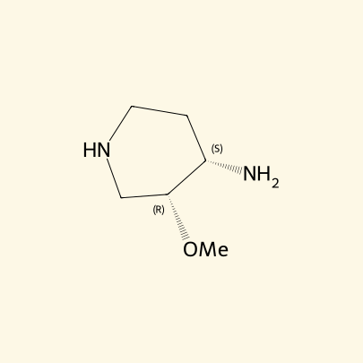 CO[C@@H]1CNCC[C@@H]1N